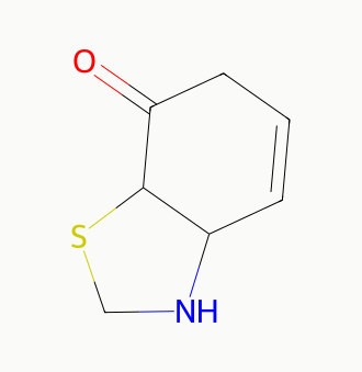 O=C1CC=CC2NCSC12